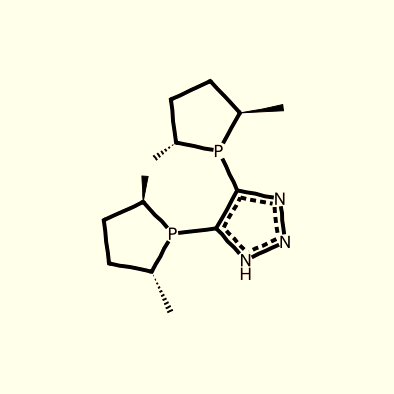 C[C@@H]1CC[C@@H](C)P1c1nn[nH]c1P1[C@H](C)CC[C@H]1C